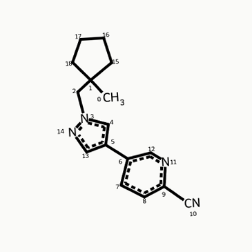 CC1(Cn2cc(-c3ccc(C#N)nc3)cn2)CCCC1